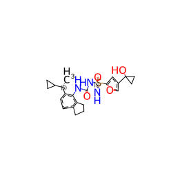 C[C@H](c1ccc2c(c1NC(=O)N[S@@](=N)(=O)c1cc(C3(O)CC3)co1)CCC2)C1CC1